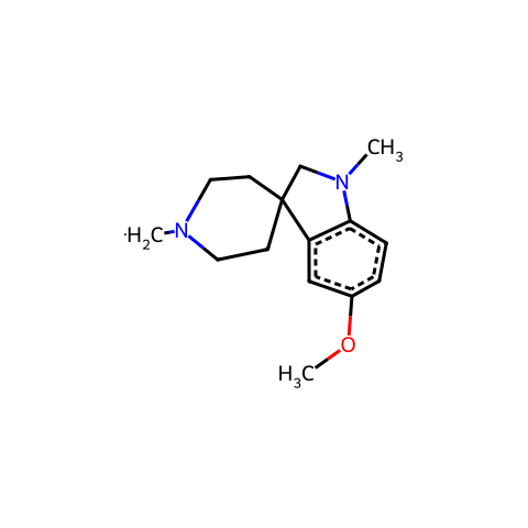 [CH2]N1CCC2(CC1)CN(C)c1ccc(OC)cc12